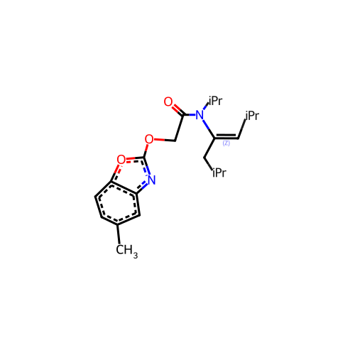 Cc1ccc2oc(OCC(=O)N(/C(=C\C(C)C)CC(C)C)C(C)C)nc2c1